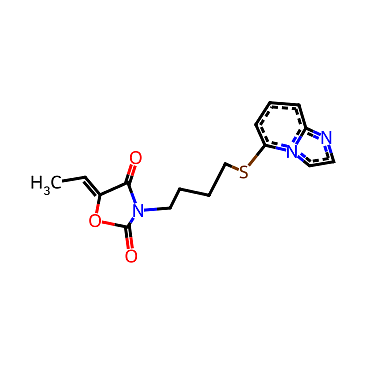 C/C=C1\OC(=O)N(CCCCSc2cccc3nccn23)C1=O